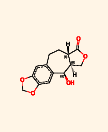 O=C1OC[C@@H]2[C@@H]1CCc1cc3c(cc1[C@@H]2O)OCO3